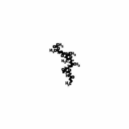 CCCC(=O)NC[C@@H]1C[C@@]2(CO2)C[C@@H](C=CC(C)=CC[C@@H]2O[C@H](C)[C@H](NC(=O)C=CC(C)OC(C)=O)C[C@@H]2C)O1